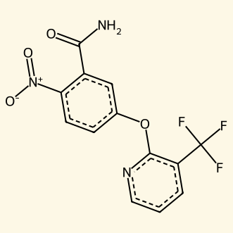 NC(=O)c1cc(Oc2ncccc2C(F)(F)F)ccc1[N+](=O)[O-]